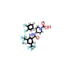 O=C(N[C@@H]1CCN(C(=O)O)C[C@H]1c1ccc(F)c(F)c1)c1cc(C(F)(F)F)cc(C(F)(F)F)c1